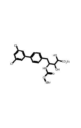 CCOC(=O)C(O)C(O)C(Cc1ccc(-c2cc(Cl)cc(Cl)c2)cc1)NC(=O)OC(C)(C)C